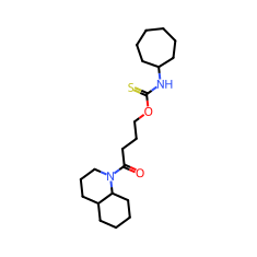 O=C(CCCOC(=S)NC1CCCCCC1)N1CCCC2CCCCC21